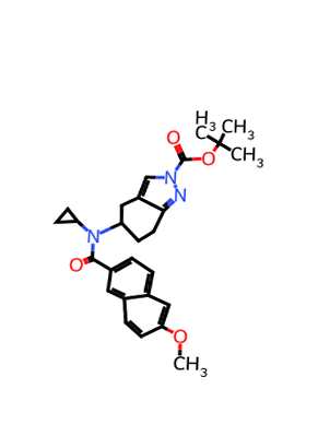 COc1ccc2cc(C(=O)N(C3CC3)C3CCc4nn(C(=O)OC(C)(C)C)cc4C3)ccc2c1